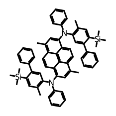 Cc1cc([Si](C)(C)C)c(-c2ccccc2)cc1N(c1ccccc1)c1cc(C)c2ccc3c(N(c4ccccc4)c4cc(-c5ccccc5)c([Si](C)(C)C)cc4C)cc(C)c4ccc1c2c43